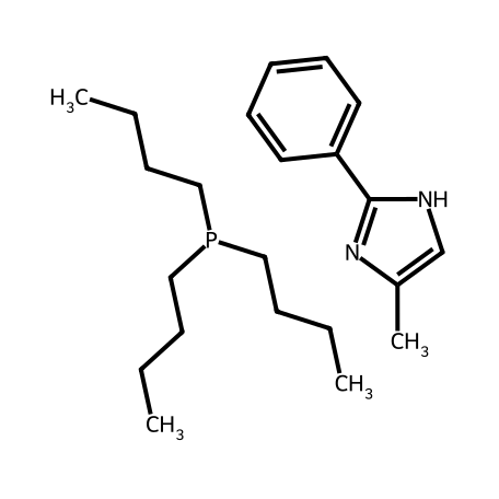 CCCCP(CCCC)CCCC.Cc1c[nH]c(-c2ccccc2)n1